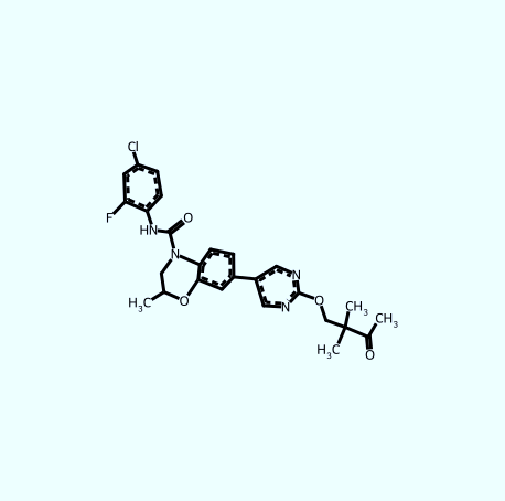 CC(=O)C(C)(C)COc1ncc(-c2ccc3c(c2)OC(C)CN3C(=O)Nc2ccc(Cl)cc2F)cn1